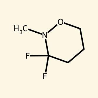 CN1OCCCC1(F)F